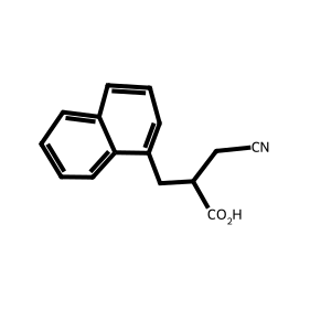 N#CCC(Cc1cccc2ccccc12)C(=O)O